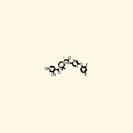 C[C@H](C(=O)Nc1cnc(Oc2ccc(F)cc2F)cn1)N1CCN(C(=O)c2cc[n+]([O-])cc2C#N)C(C)(C)C1